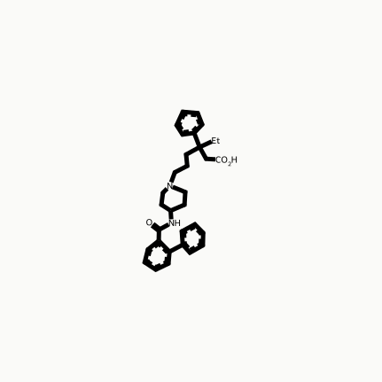 CCC(CCCN1CCC(NC(=O)c2ccccc2-c2ccccc2)CC1)(CC(=O)O)c1ccccc1